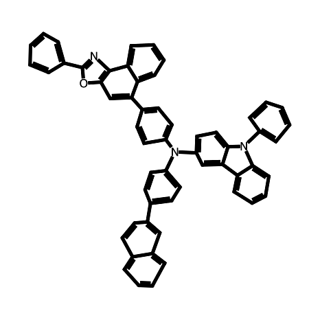 c1ccc(-c2nc3c(cc(-c4ccc(N(c5ccc(-c6ccc7ccccc7c6)cc5)c5ccc6c(c5)c5ccccc5n6-c5ccccc5)cc4)c4ccccc43)o2)cc1